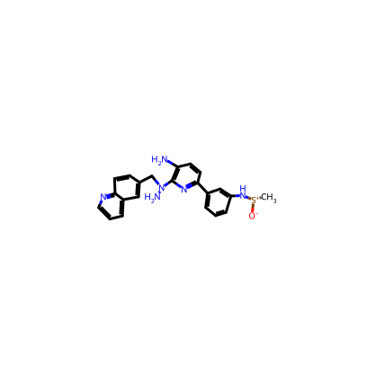 C[S+]([O-])Nc1cccc(-c2ccc(N)c(N(N)Cc3ccc4ncccc4c3)n2)c1